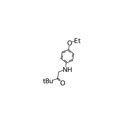 CCOc1ccc(NCC(=O)C(C)(C)C)cc1